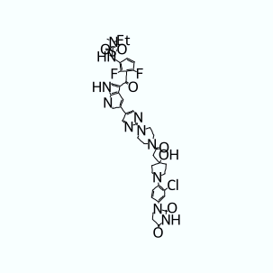 CCN(C)S(=O)(=O)Nc1ccc(F)c(C(=O)c2c[nH]c3ncc(-c4cnc(N5CCN(C(=O)CC6(O)CCN(c7ccc(N8CCC(=O)NC8=O)cc7Cl)CC6)CC5)nc4)cc23)c1F